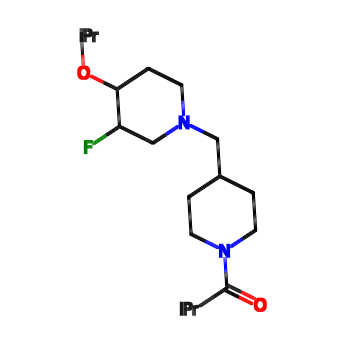 CC(C)OC1CCN(CC2CCN(C(=O)C(C)C)CC2)CC1F